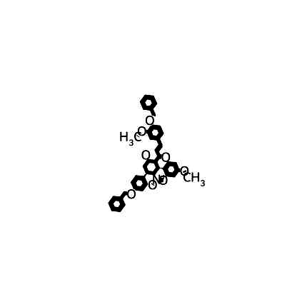 COc1ccc([C@H]2C(C(=O)/C=C/c3ccc(OCc4ccccc4)c(OC)c3)C(=O)C[C@H](c3ccc(OCc4ccccc4)cc3)[C@@H]2[N+](=O)[O-])cc1